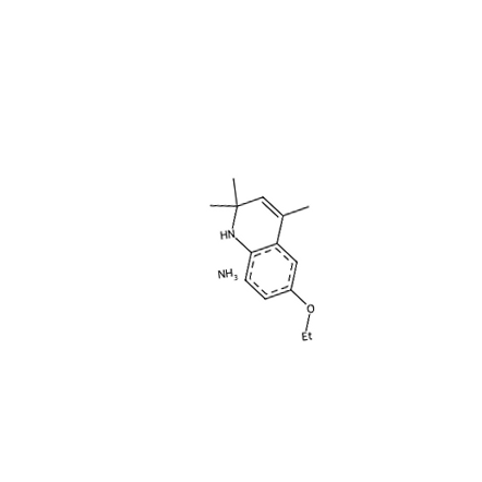 CCOc1ccc2c(c1)C(C)=CC(C)(C)N2.N